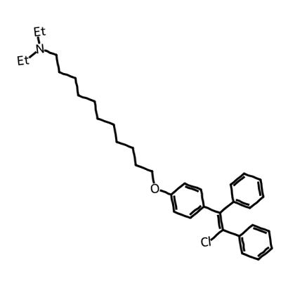 CCN(CC)CCCCCCCCCCCOc1ccc(C(=C(Cl)c2ccccc2)c2ccccc2)cc1